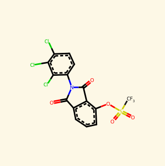 O=C1c2cccc(OS(=O)(=O)C(F)(F)F)c2C(=O)N1c1ccc(Cl)c(Cl)c1Cl